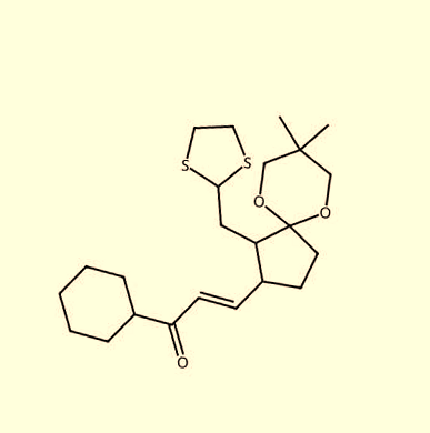 CC1(C)COC2(CCC(C=CC(=O)C3CCCCC3)C2CC2SCCS2)OC1